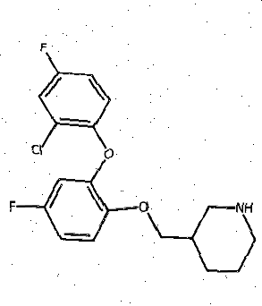 Fc1ccc(Oc2cc(F)ccc2OCC2CCCNC2)c(Cl)c1